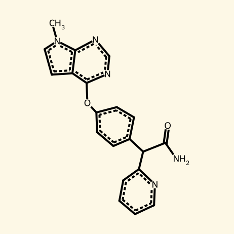 Cn1ccc2c(Oc3ccc(C(C(N)=O)c4ccccn4)cc3)ncnc21